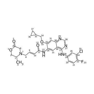 CC1COC(=O)CN1CC=CC(=O)Nc1cc2c(Nc3ccc(F)c(Cl)c3)ncnc2cc1OCC1CC1